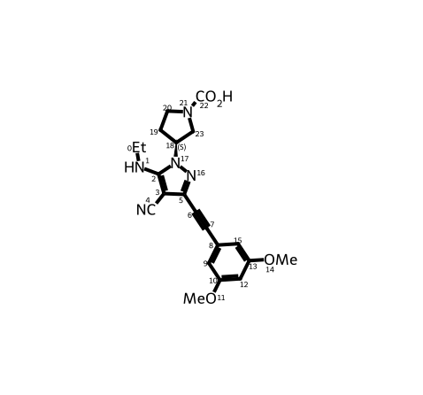 CCNc1c(C#N)c(C#Cc2cc(OC)cc(OC)c2)nn1[C@H]1CCN(C(=O)O)C1